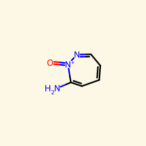 Nc1ccccn[n+]1=O